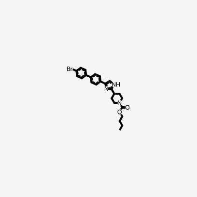 CCCCOC(=O)N1CCC(c2nc(-c3ccc(-c4ccc(Br)cc4)cc3)c[nH]2)CC1